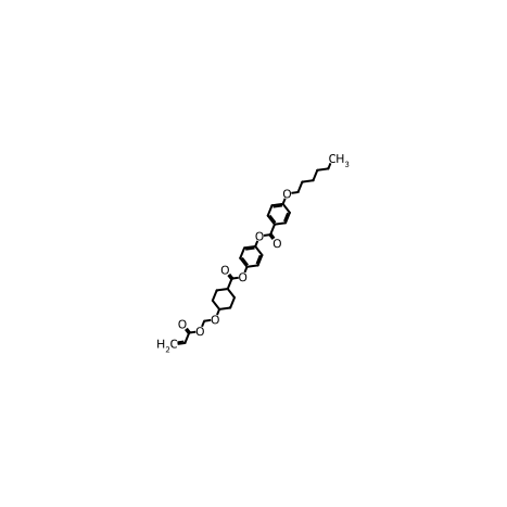 C=CC(=O)OCOC1CCC(C(=O)Oc2ccc(OC(=O)c3ccc(OCCCCCC)cc3)cc2)CC1